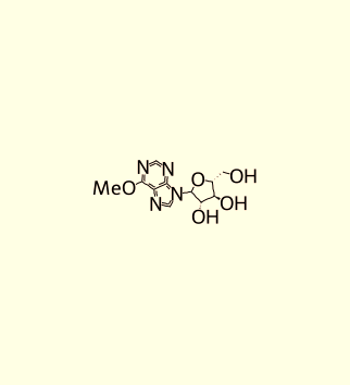 COc1ncnc2c1ncn2C1O[C@H](CO)[C@@H](O)[C@@H]1O